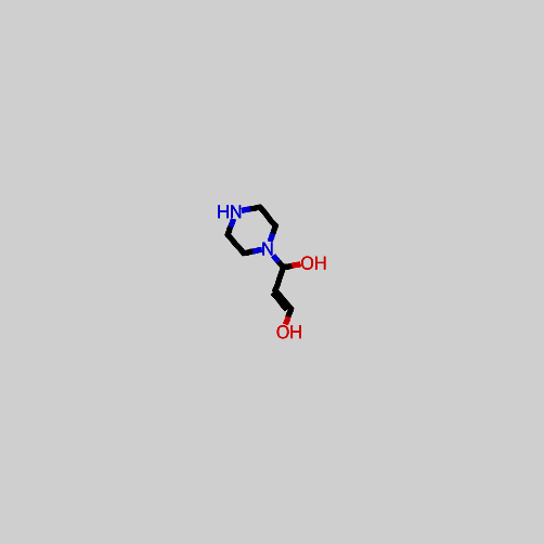 OC=CC(O)N1CCNCC1